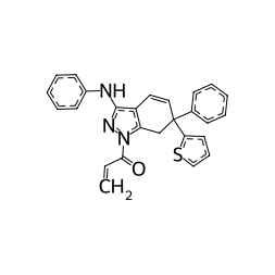 C=CC(=O)n1nc(Nc2ccccc2)c2c1CC(c1ccccc1)(c1cccs1)C=C2